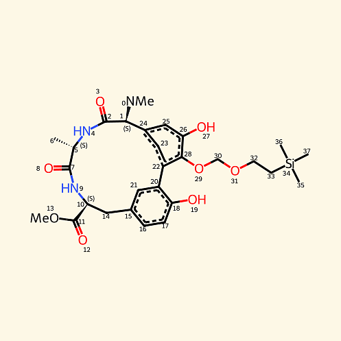 CN[C@@H]1C(=O)N[C@@H](C)C(=O)N[C@H](C(=O)OC)Cc2ccc(O)c(c2)-c2cc1cc(O)c2OCOCC[Si](C)(C)C